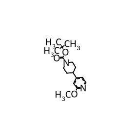 COc1cc(C2CCN(C(=O)OC(C)(C)C)CC2)ccn1